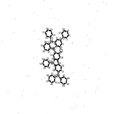 c1ccc(-c2cc3c4c(c2)N(c2ccccc2)c2ccccc2B4c2cc4c(cc2O3)c2ccc(N(c3ccccc3)c3ccccc3)cc2n4-c2ccccc2)cc1